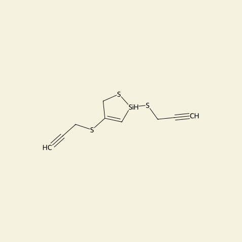 C#CCSC1=C[SiH](SCC#C)SC1